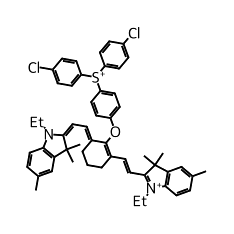 CCN1/C(=C/C=C2\CCCC(/C=C/C3=[N+](CC)c4ccc(C)cc4C3(C)C)=C2Oc2ccc([S+](c3ccc(Cl)cc3)c3ccc(Cl)cc3)cc2)C(C)(C)c2cc(C)ccc21